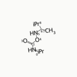 CC(C)NC(=O)ONC(C)C(C)C